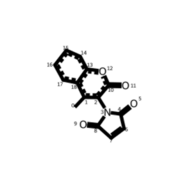 Cc1c(N2C(=O)C=CC2=O)c(=O)oc2ccccc12